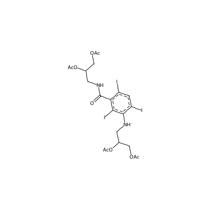 CC(=O)OCC(CNC(=O)c1c(I)cc(I)c(NCC(COC(C)=O)OC(C)=O)c1I)OC(C)=O